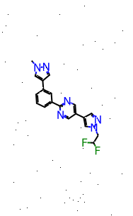 Cn1cc(-c2cccc(-c3ncc(-c4cnn(CC(F)F)c4)cn3)c2)cn1